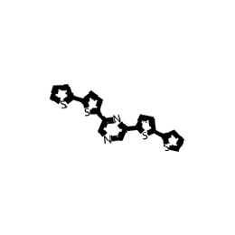 c1csc(-c2ccc(-c3cncc(-c4ccc(-c5cccs5)s4)n3)s2)c1